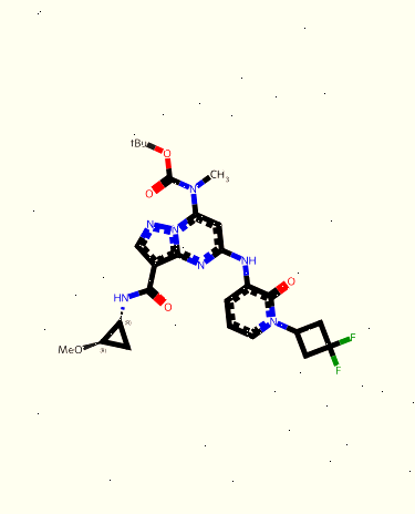 CO[C@@H]1C[C@H]1NC(=O)c1cnn2c(N(C)C(=O)OC(C)(C)C)cc(Nc3cccn(C4CC(F)(F)C4)c3=O)nc12